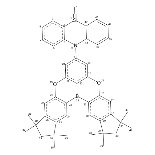 C[SiH]1c2ccccc2N(c2cc3c4c(c2)Oc2cc5c(cc2B4c2cc4c(cc2O3)C(C)(C)CC4(C)C)C(C)(C)CC5(C)C)C2C=CC=CC21